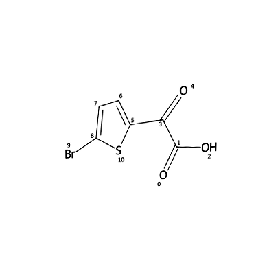 O=C(O)C(=O)c1ccc(Br)s1